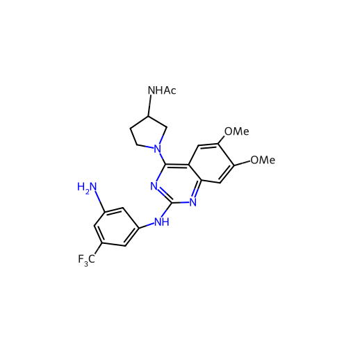 COc1cc2nc(Nc3cc(N)cc(C(F)(F)F)c3)nc(N3CCC(NC(C)=O)C3)c2cc1OC